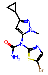 Cn1nc(C2CC2)cc1N(C(N)=O)c1ncc(Br)s1